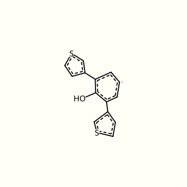 Oc1c(-c2ccsc2)c[c]cc1-c1ccsc1